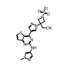 CCS(=O)(=O)N1CC(CC#N)(n2cc(-c3nc(Nc4cnn(C)c4)nc4ccsc34)cn2)C1